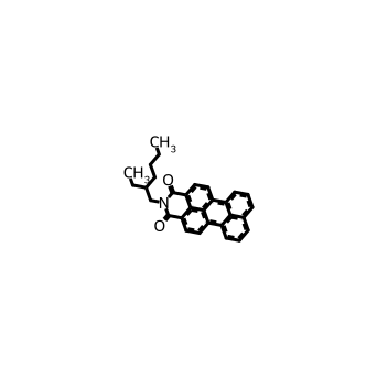 CCCCC(CC)CN1C(=O)c2ccc3c4cccc5cccc(c6ccc(c2c36)C1=O)c54